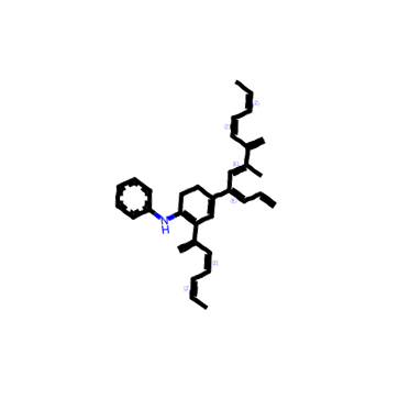 C=C/C=C(\C=C(/C)C(=C)/C=C\C=C/C)C1=CC(C(=C)/C=C\C=C/C)=C(Nc2ccccc2)CC1